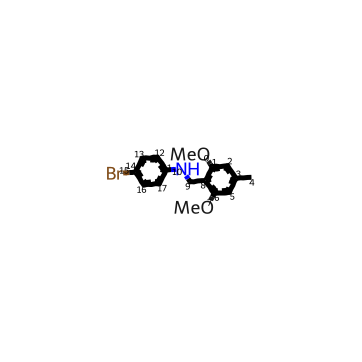 COc1cc(C)cc(OC)c1CNc1ccc(Br)cc1